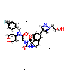 O=C1N[C@]2(CCc3cc(-c4cnn(CCO)c4)ccc32)C(=O)N1CC(=O)N(Cc1ccc(F)cc1)C1CCOCC1